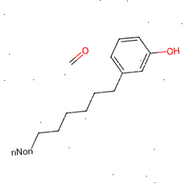 C=O.CCCCCCCCCCCCCCCc1cccc(O)c1